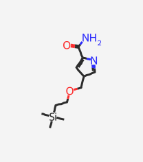 C[Si](C)(C)CCOCC1C=NC(C(N)=O)=C1